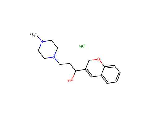 CN1CCN(CCC(O)C2=Cc3ccccc3OC2)CC1.Cl